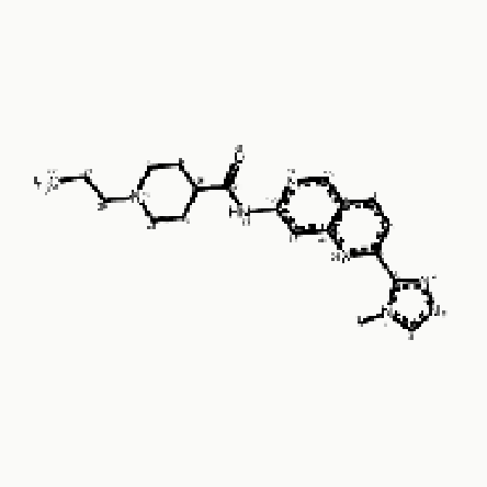 Cn1cnnc1-c1ccc2cnc(NC(=O)C3CCN(CCC(F)(F)F)CC3)cc2n1